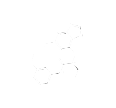 CC[C@H](Sc1nc(N)nc2nc[nH]c12)C(=O)Nc1cc(OC)ccn1